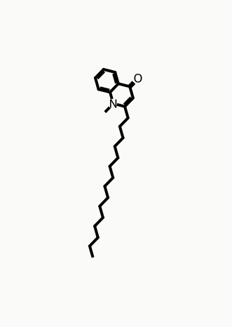 CCCCCCCCCCCCCCCc1cc(=O)c2ccccc2n1C